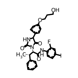 C[C@@H](c1ccccc1)[C@@H](C(=O)Nc1ccc(I)cc1F)N1C(=O)NC(c2ccc(OCCCO)cc2)C1=O